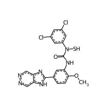 COc1ccc(-c2nc3cnncc3[nH]2)cc1NC(=O)N(S)c1cc(Cl)cc(Cl)c1